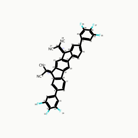 [C-]#[N+]/C(C#N)=C1/c2cc(-c3cc(F)c(F)c(F)c3)ccc2-c2cc3c(cc21)/C(=C(\C#N)[N+]#[C-])c1cc(-c2cc(F)c(F)c(F)c2)ccc1-3